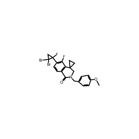 COc1ccc(CN2CC3(CC3)c3c(ccc(C4(F)CC4(Br)Br)c3F)C2=O)cc1